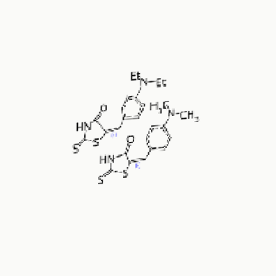 CCN(CC)c1ccc(/C=C2/SC(=S)NC2=O)cc1.CN(C)c1ccc(/C=C2/SC(=S)NC2=O)cc1